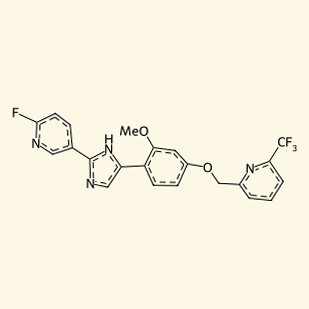 COc1cc(OCc2cccc(C(F)(F)F)n2)ccc1-c1cnc(-c2ccc(F)nc2)[nH]1